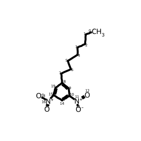 CCCCCCCCc1cc([N+](=O)[O-])[c]c([N+](=O)[O-])c1